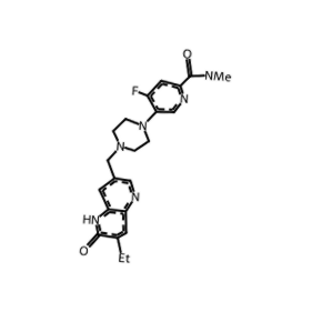 CCc1cc2ncc(CN3CCN(c4cnc(C(=O)NC)cc4F)CC3)cc2[nH]c1=O